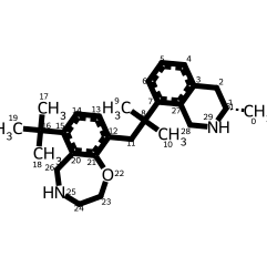 C[C@H]1Cc2cccc(C(C)(C)Cc3ccc(C(C)(C)C)c4c3OCCNC4)c2CN1